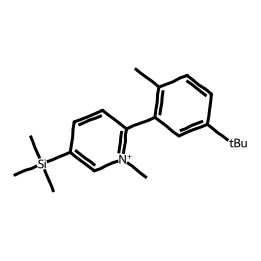 Cc1ccc(C(C)(C)C)cc1-c1ccc([Si](C)(C)C)c[n+]1C